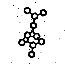 C1=CCC(C2=CC(c3ccc(N4C5C=CC6C7C=CC=CC7N(C7=CC(C8CC=CCC8)CC(c8ccccc8)C7)C6C5C5CCCCC54)cc3)=CC(c3ccccc3)C2)C=C1